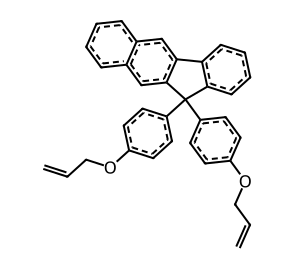 C=CCOc1ccc(C2(c3ccc(OCC=C)cc3)c3ccccc3-c3cc4ccccc4cc32)cc1